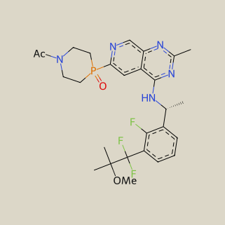 COC(C)(C)C(F)(F)c1cccc([C@@H](C)Nc2nc(C)nc3cnc(P4(=O)CCN(C(C)=O)CC4)cc23)c1F